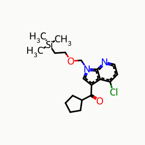 C[Si](C)(C)CCOCn1cc(C(=O)C2CCCC2)c2c(Cl)ccnc21